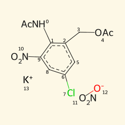 CC(=O)Nc1c(COC(C)=O)cc(Cl)cc1[N+](=O)[O-].O=[N+]([O-])[O-].[K+]